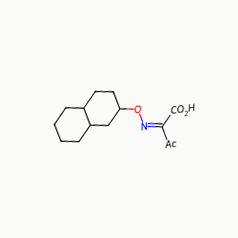 CC(=O)C(=NOC1CCC2CCCCC2C1)C(=O)O